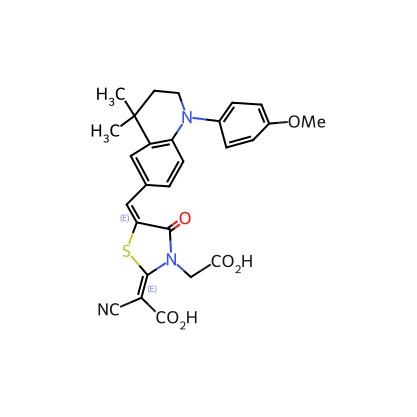 COc1ccc(N2CCC(C)(C)c3cc(/C=c4/s/c(=C(\C#N)C(=O)O)n(CC(=O)O)c4=O)ccc32)cc1